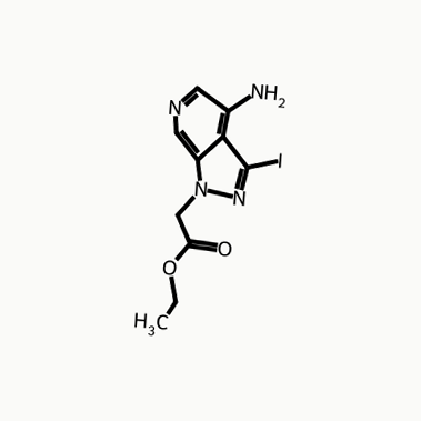 CCOC(=O)Cn1nc(I)c2c(N)cncc21